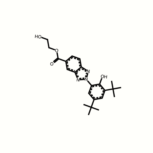 CC(C)(C)c1cc(-n2nc3ccc(C(=O)OCCO)cc3n2)c(O)c(C(C)(C)C)c1